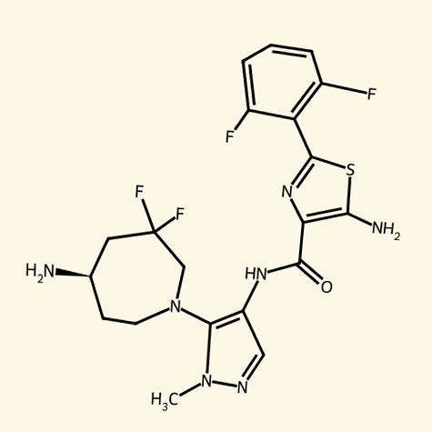 Cn1ncc(NC(=O)c2nc(-c3c(F)cccc3F)sc2N)c1N1CC[C@@H](N)CC(F)(F)C1